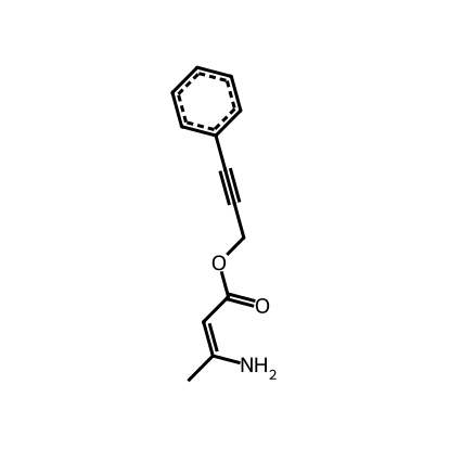 C/C(N)=C/C(=O)OCC#Cc1ccccc1